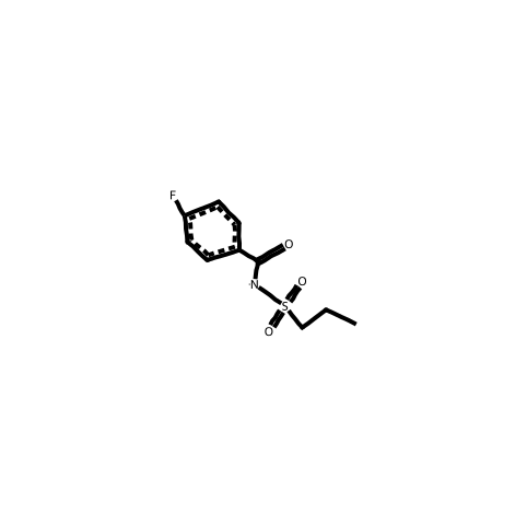 CCCS(=O)(=O)[N]C(=O)c1ccc(F)cc1